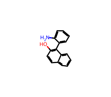 Nc1ccccc1-c1c(O)ccc2ccccc12